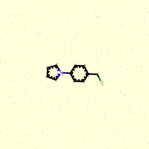 ClCc1ccc(-n2[c]ccc2)cc1